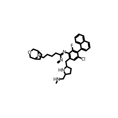 C=N/C(CCCCN1C2CCC1COC2)=N\c1c(CC2CCC(CNC)N2)cc(Cl)c(-c2cccc3ccccc23)c1F